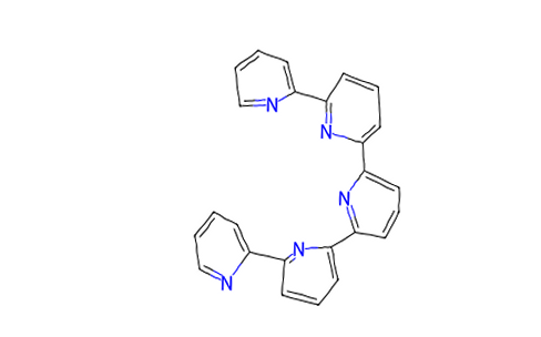 c1ccc(-c2cccc(-c3cccc(-c4cccc(-c5ccccn5)n4)n3)n2)nc1